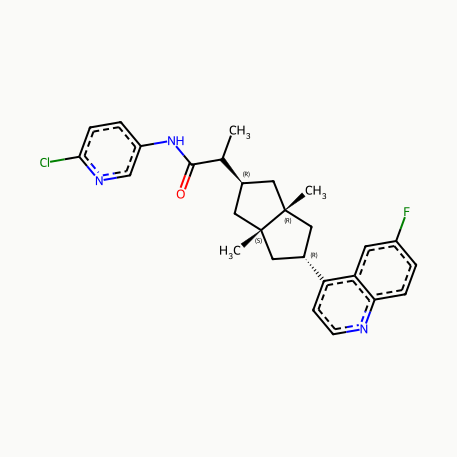 CC(C(=O)Nc1ccc(Cl)nc1)[C@H]1C[C@]2(C)C[C@H](c3ccnc4ccc(F)cc34)C[C@]2(C)C1